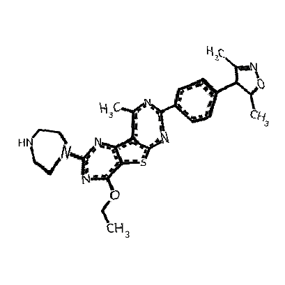 CCOc1nc(N2CCNCC2)nc2c1sc1nc(-c3ccc(C4C(C)=NOC4C)cc3)nc(C)c12